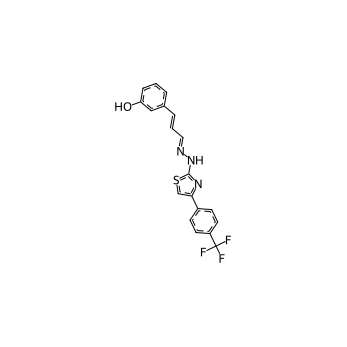 Oc1cccc(/C=C/C=N/Nc2nc(-c3ccc(C(F)(F)F)cc3)cs2)c1